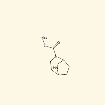 CC(C)(C)OC(=O)N1CCC2CCC1CN2